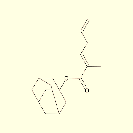 C=CCC=C(C)C(=O)OC12CC3CC(CC(C3)C1)C2